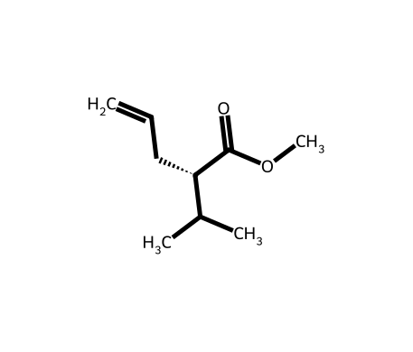 C=CC[C@H](C(=O)OC)C(C)C